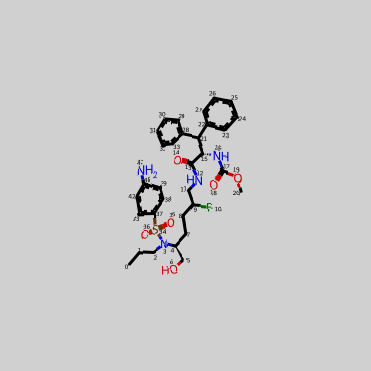 CCCN([C@H](CO)CCC(F)CNC(=O)[C@@H](NC(=O)OC)C(c1ccccc1)c1ccccc1)S(=O)(=O)c1ccc(N)cc1